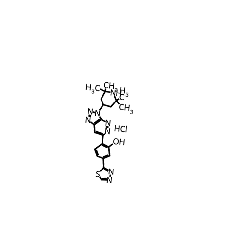 CC1(C)CC(n2nnc3cc(-c4ccc(-c5nncs5)cc4O)nnc32)CC(C)(C)N1.Cl